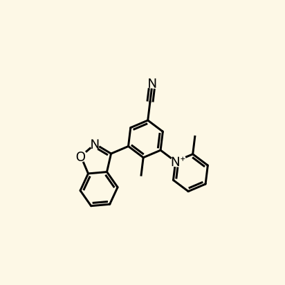 Cc1c(-c2noc3ccccc23)cc(C#N)cc1-[n+]1ccccc1C